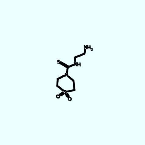 NCCNC(=S)N1CCS(=O)(=O)CC1